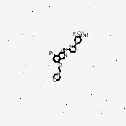 CC(C)c1ccc(OCCN2CCOCC2)c2cnc(Nc3ccnc(N4CC[C@](C)(O)[C@H](F)C4)n3)cc12